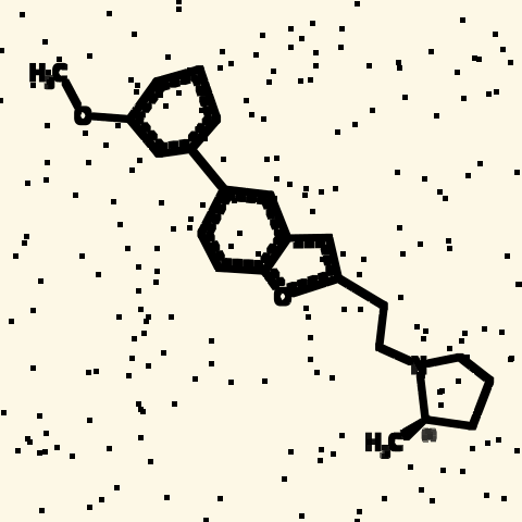 COc1cccc(-c2ccc3oc(CCN4CCC[C@H]4C)cc3c2)c1